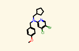 COc1ccc(CN(CC2CCCC2)c2cc(Cl)c(Br)cn2)cc1